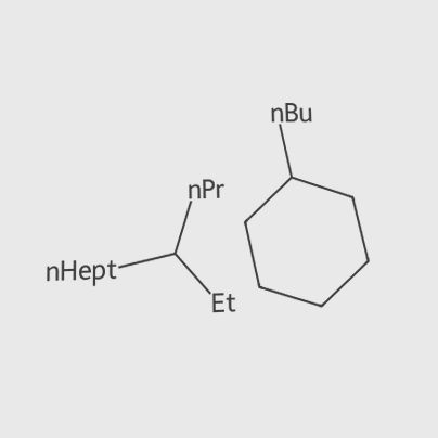 CCCCC1CCCCC1.CCCCCCCC(CC)CCC